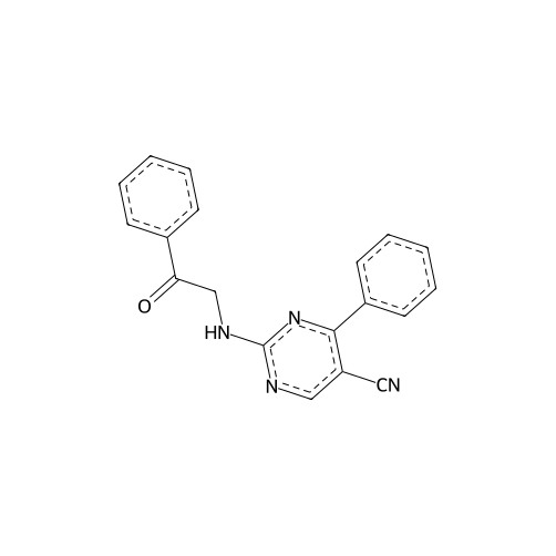 N#Cc1cnc(NCC(=O)c2ccccc2)nc1-c1ccccc1